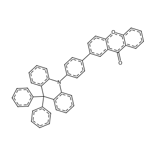 O=c1c2ccccc2oc2ccc(-c3ccc(N4c5ccccc5C(c5ccccc5)(c5ccccc5)c5ccccc54)cc3)cc12